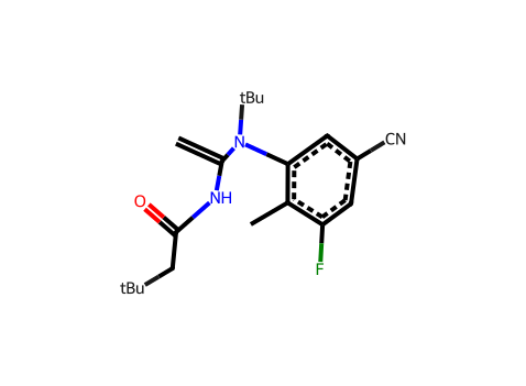 C=C(NC(=O)CC(C)(C)C)N(c1cc(C#N)cc(F)c1C)C(C)(C)C